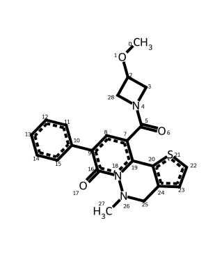 COC1CN(C(=O)c2cc(-c3ccccc3)c(=O)n3c2-c2sccc2CN3C)C1